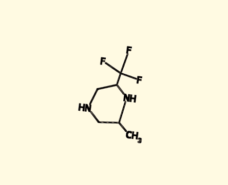 CC1CNCC(C(F)(F)F)N1